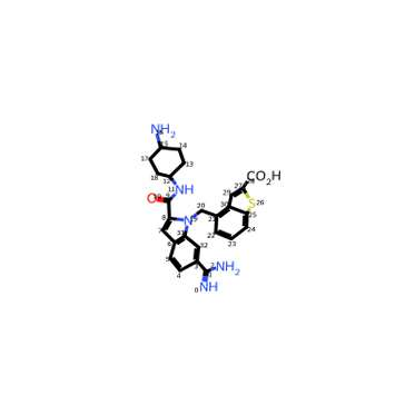 N=C(N)c1ccc2cc(C(=O)NC3CCC(N)CC3)n(Cc3cccc4sc(C(=O)O)cc34)c2c1